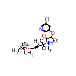 CCC(Oc1cncc(Cl)c1)C(=O)NC(C)(C)C#CCO[Si](C)(C)C(C)(C)C